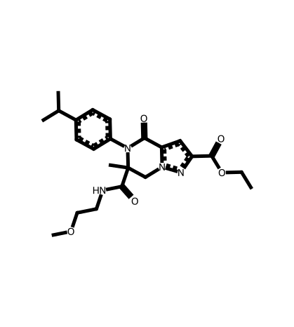 CCOC(=O)c1cc2n(n1)CC(C)(C(=O)NCCOC)N(c1ccc(C(C)C)cc1)C2=O